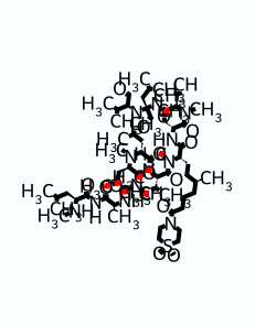 C#C[C@H](C(=O)N(C)[C@@](C=O)(CC(C)C)N[C@H](C=O)C(C)C)N(C)C(=O)[C@@H](CC)NC(=O)[C@H](CC[C@H](C)CCCC(=O)N1CCS(=O)(=O)CC1)N(C)C(=O)[C@H](C(C)C)N(C)C(=O)[C@@H](CC(C)C)N(C)[C@H](CC(C)C)C(=O)N(C)C(=O)N[C@H](C)C(=O)NC(=O)[C@H](CC(C)C)NC